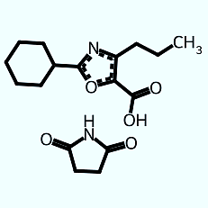 CCCc1nc(C2CCCCC2)oc1C(=O)O.O=C1CCC(=O)N1